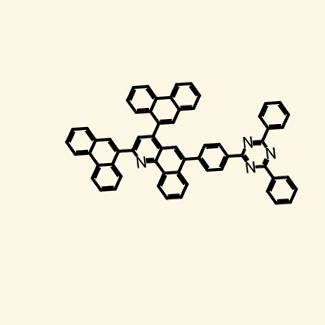 c1ccc(-c2nc(-c3ccccc3)nc(-c3ccc(-c4cc5c(-c6cc7ccccc7c7ccccc67)cc(-c6cc7ccccc7c7ccccc67)nc5c5ccccc45)cc3)n2)cc1